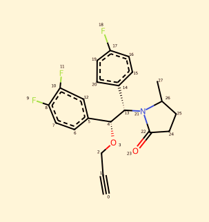 C#CCO[C@H](c1ccc(F)c(F)c1)[C@H](c1ccc(F)cc1)N1C(=O)CCC1C